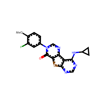 COc1ccc(-n2cnc3c(sc4ncnc(NC5CC5)c43)c2=O)cc1F